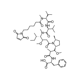 CCC(C)[C@@H](C(CC(=O)N1[C@@H](C)CC[C@H]1C(OC)C(C)C(=O)N[C@@H](Cc1ccccc1)C(=O)O)OC)N(C)C(=O)[C@@H](NC(=O)[C@H](C(C)C)N(C)C(=O)CCCCCN1C(=O)C=CC1=O)C(C)C